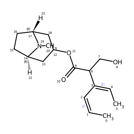 C/C=C\C(=C/C)C(CO)C(=O)OC1C[C@H]2CC[C@H](C1)N2C